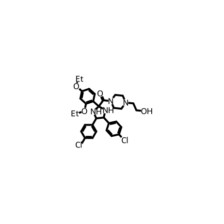 CCOc1ccc(C2(C(=O)N3CCN(CCO)CC3)NC(c3ccc(Cl)cc3)C(c3ccc(Cl)cc3)N2)c(OCC)c1